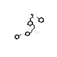 O=C([O-])C(Cc1ccc2c(c1)CCC(Cc1ccc(OCc3ccccc3)cc1)O2)OCc1ccccc1.[Na+]